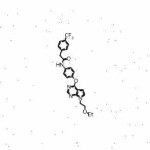 CCOCCn1ccc2c(Oc3ccc(NC(=O)Cc4ccc(C(F)(F)F)cc4)cc3)ncnc21